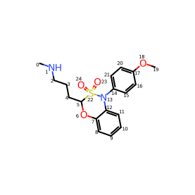 CNCCCC1Oc2ccccc2N(c2ccc(OC)cc2)S1(=O)=O